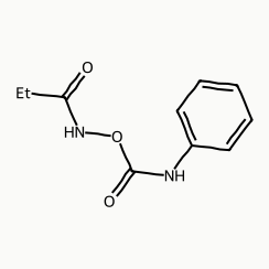 CCC(=O)NOC(=O)Nc1ccccc1